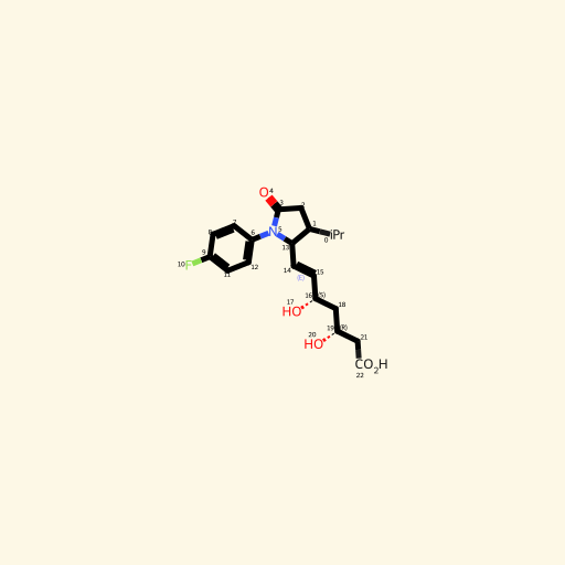 CC(C)C1CC(=O)N(c2ccc(F)cc2)C1/C=C/[C@@H](O)C[C@@H](O)CC(=O)O